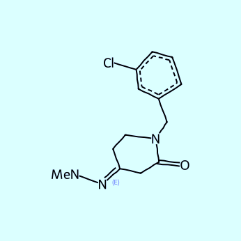 CN/N=C1\CCN(Cc2cccc(Cl)c2)C(=O)C1